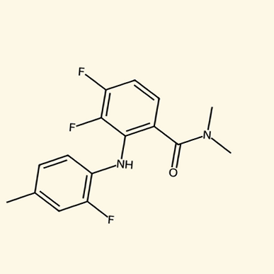 Cc1ccc(Nc2c(C(=O)N(C)C)ccc(F)c2F)c(F)c1